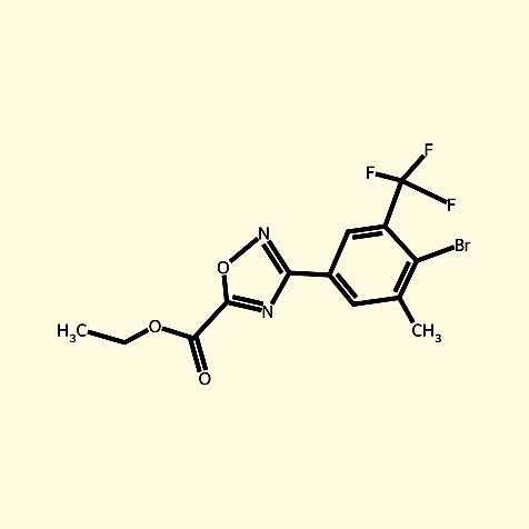 CCOC(=O)c1nc(-c2cc(C)c(Br)c(C(F)(F)F)c2)no1